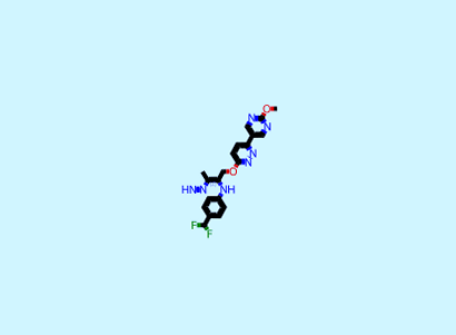 COc1ncc(-c2ccc(OC/C(Nc3ccc(C(F)F)cc3)=C(\C)N=N)nn2)cn1